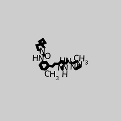 Cc1ccc(NC(=O)N2CCC3(CCC3)C2)cc1CCc1cc(Nc2nccnc2C)[nH]n1